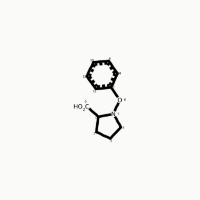 O=C(O)C1CCCN1Oc1ccccc1